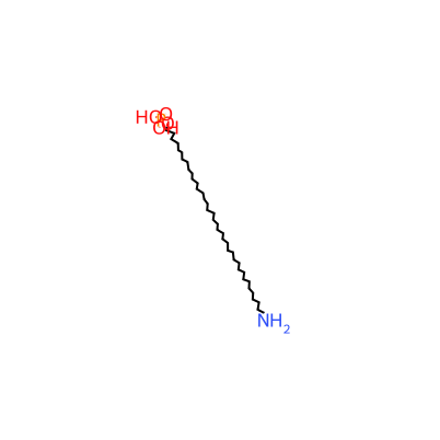 NCCCCCCCCCCCCCCCCCCCCCCCCCCCCCCCCCCCCCCOP(=O)(O)O